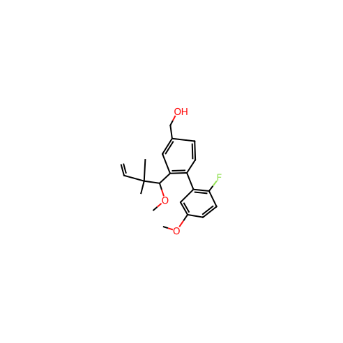 C=CC(C)(C)C(OC)c1cc(CO)ccc1-c1cc(OC)ccc1F